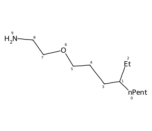 CCCCCC(CC)CCCOCCN